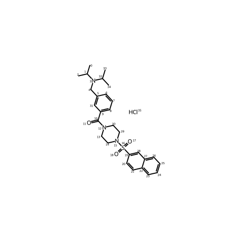 CC(C)N(Cc1cccc(C(=O)N2CCN(S(=O)(=O)c3ccc4ccccc4c3)CC2)c1)C(C)C.Cl